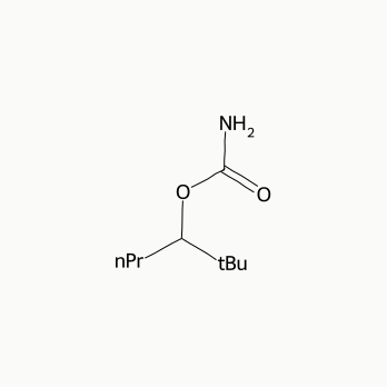 CCCC(OC(N)=O)C(C)(C)C